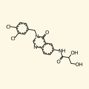 O=C(Nc1ccc2ncn(Cc3ccc(Cl)c(Cl)c3)c(=O)c2c1)C(O)CO